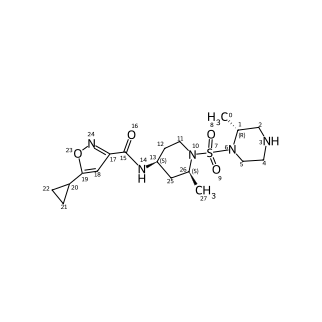 C[C@@H]1CNCCN1S(=O)(=O)N1CC[C@H](NC(=O)c2cc(C3CC3)on2)C[C@@H]1C